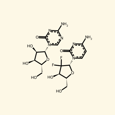 Nc1ccn([C@@H]2O[C@H](CO)[C@@H](O)C2(F)F)c(=O)n1.Nc1ncn([C@@H]2O[C@H](CO)[C@@H](O)[C@H]2O)c(=O)n1